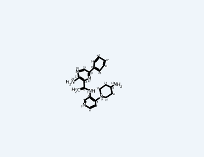 C=C(Nc1cnccc1N1CCC(N)CC1)c1nc(-c2ccccc2)cnc1N